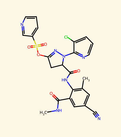 CNC(=O)c1cc(C#N)cc(C)c1NC(=O)C1CC(OS(=O)(=O)c2cccnc2)=NN1c1ncccc1Cl